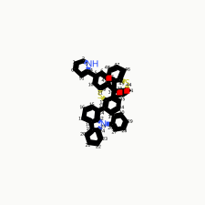 C1=CCNC(c2ccc3c(c2)Sc2c(-c4cccc5c6ccccc6n(-c6ccccc6)c45)cccc2C32c3ccccc3Sc3ccccc32)=C1